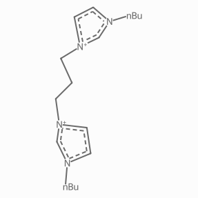 CCCCn1cc[n+](CCC[n+]2ccn(CCCC)c2)c1